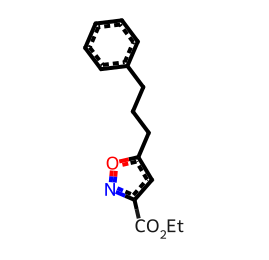 CCOC(=O)c1cc(CCCc2ccccc2)on1